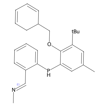 C/N=C/c1ccccc1Pc1cc(C)cc(C(C)(C)C)c1OCC1C=CC=CC1